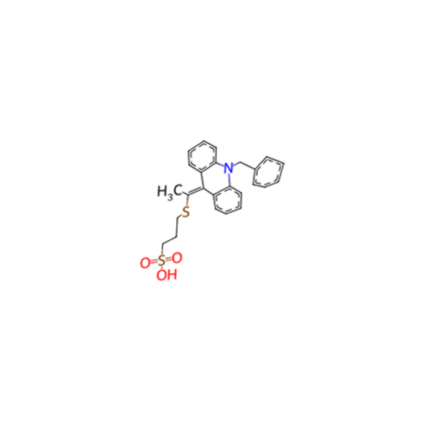 CC(SCCCS(=O)(=O)O)=C1c2ccccc2N(Cc2ccccc2)c2ccccc21